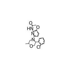 CC1CN(c2ccc3c(n2)NC(=O)CO3)C(c2ccccc2Cl)CO1